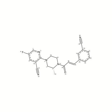 C[C@@H]1CN(c2ncc(F)cc2C#N)CCN1C(=O)/C=C/c1cccc(C#N)c1